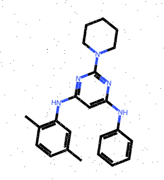 Cc1ccc(C)c(Nc2cc(Nc3ccccc3)nc(N3CCCCC3)n2)c1